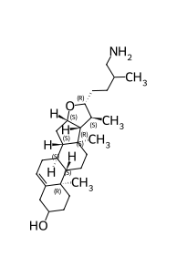 CC(CN)CC[C@H]1O[C@H]2C[C@H]3[C@@H]4CC=C5CC(O)CC[C@]5(C)[C@H]4CC[C@]3(C)[C@H]2[C@@H]1C